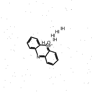 I.I.I.I.O.c1ccc2[se+]c3ccccc3nc2c1